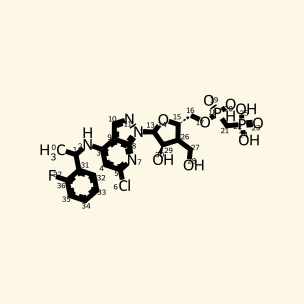 CC(Nc1cc(Cl)nc2c1cnn2C1O[C@H](COP(=O)(O)CP(=O)(O)O)C(CO)[C@H]1O)c1ccccc1F